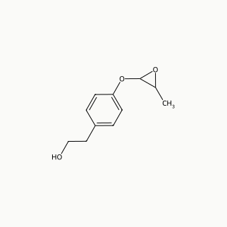 CC1OC1Oc1ccc(CCO)cc1